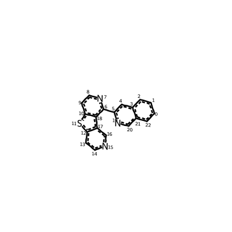 c1ccc2cc(-c3nccc4sc5ccncc5c34)ncc2c1